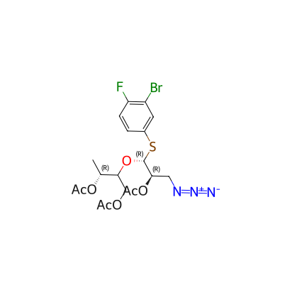 CC(=O)OCC(O[C@H](Sc1ccc(F)c(Br)c1)[C@@H](CN=[N+]=[N-])OC(C)=O)[C@@H](C)OC(C)=O